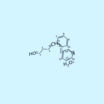 CCCCO.O.c1ccccc1.c1ccncc1